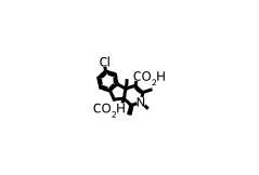 C=C1N(C)C(C)=C(C(=O)O)C2(C)c3cc(Cl)ccc3CC12C(=O)O